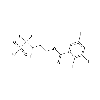 O=C(OCCC(F)C(F)(F)S(=O)(=O)O)c1cc(I)cc(I)c1I